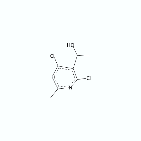 Cc1cc(Cl)c(C(C)O)c(Cl)n1